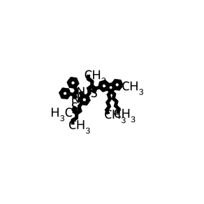 CCCCCCC1(CCCCCC)c2cc(C)ccc2-c2ccc(-c3sc(-c4ccc(-c5cc(CCC)c(C)s5)c5nc(-c6ccccc6)c(-c6ccccc6)nc45)cc3CCC)cc21